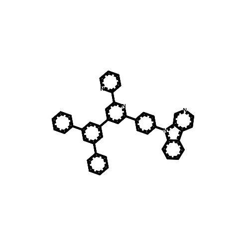 c1ccc(-c2cc(-c3ccccc3)cc(-c3cc(-c4ccc(-n5c6ccccc6c6ccncc65)cc4)nc(-c4ccccn4)c3)c2)cc1